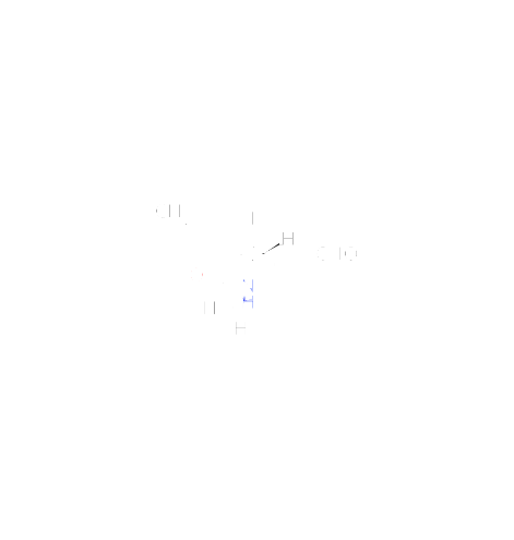 C=CCO[C@H]1C[C@H]2CC[C@@H]1N[C@H]2CC=O